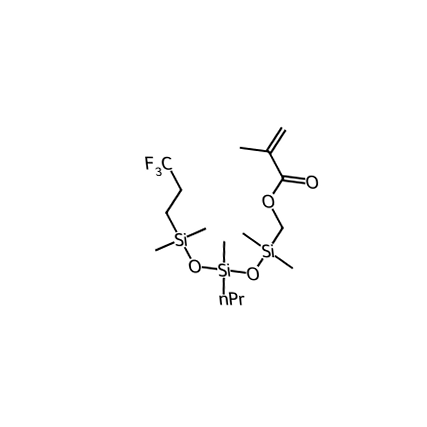 C=C(C)C(=O)OC[Si](C)(C)O[Si](C)(CCC)O[Si](C)(C)CCC(F)(F)F